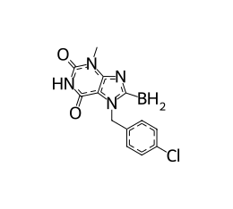 Bc1nc2c(c(=O)[nH]c(=O)n2C)n1Cc1ccc(Cl)cc1